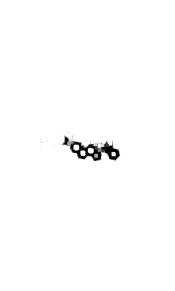 CC(=O)O[C@H]1CC[C@@]2(C)C(=CCC3C2CC[C@]2(C)C(n4nnc5ccccc54)=CCC32)C1